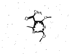 COc1nc(C)c(C(=O)O)c(OC)n1